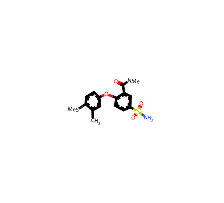 CNC(=O)c1cc(S(N)(=O)=O)ccc1Oc1ccc(SC)c(C)c1